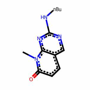 CCCCNc1ncc2ccc(=O)n(C)c2n1